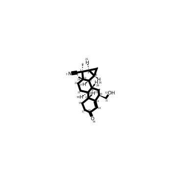 C[C@]1(C#N)[C@H]2C[C@H]2[C@H]2[C@@H]3C[C@@H](CO)C4=CC(=O)CC[C@@H]4[C@H]3CC[C@@]21C